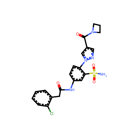 NS(=O)(=O)c1cc(NC(=O)Cc2ccccc2Cl)ccc1-n1cc(C(=O)N2CCC2)cn1